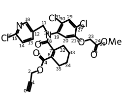 C#CCOC(=O)C1=C(C(=O)N(Cc2ccc(Cl)nc2)c2cc(OCC(=O)OC)c(Cl)cc2Cl)CCCC1